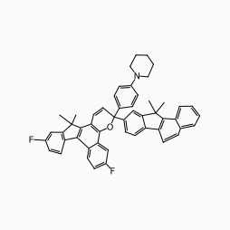 CC1(C)c2cc(F)ccc2-c2c1c1c(c3cc(F)ccc23)OC(c2ccc(N3CCCCC3)cc2)(c2ccc3c(c2)C(C)(C)c2c-3ccc3ccccc23)C=C1